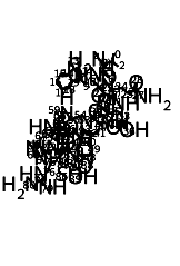 CC(C)[C@H](N)C(=O)N[C@@H](Cc1cn(C)c2ccccc12)C(=O)N[C@@H](CCC(N)=O)C(=O)N[C@@H](CC(=O)O)C(=O)N[C@@H](Cc1c[nH]c2ccccc12)C(=O)NCC(=O)N[C@@H](C)C(=O)N[C@@H](Cc1c[nH]cn1)C(=O)N[C@@H](CCCNC(=N)N)C(=O)N[C@@H](CS)C(=O)O